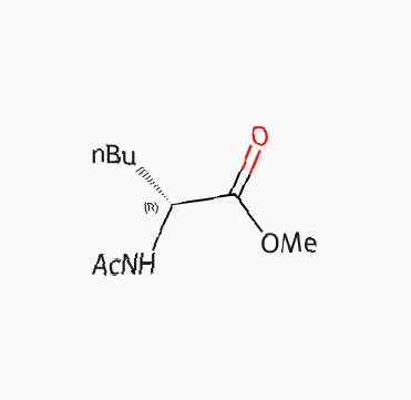 CCCC[C@@H](NC(C)=O)C(=O)OC